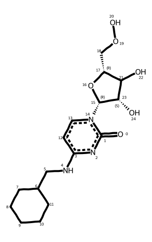 O=c1nc(NCC2CCCCC2)ccn1[C@@H]1O[C@H](COO)C(O)[C@@H]1O